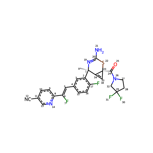 C[C@]1(c2cc(/C=C(\F)c3ccc(C#N)cn3)ccc2F)N=C(N)S[C@@]2(C(=O)N3CCC(F)(F)C3)C=C21